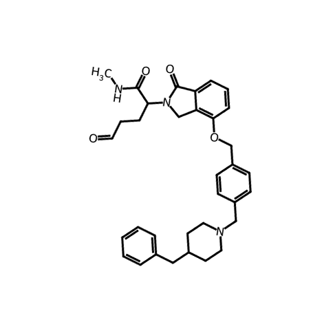 CNC(=O)C(CCC=O)N1Cc2c(OCc3ccc(CN4CCC(Cc5ccccc5)CC4)cc3)cccc2C1=O